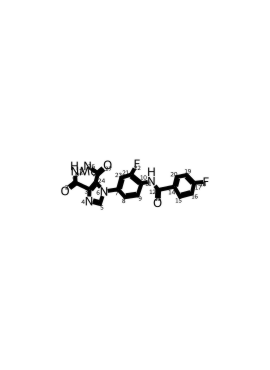 CNC(=O)c1ncn(-c2ccc(NC(=O)c3ccc(F)cc3)c(F)c2)c1C(N)=O